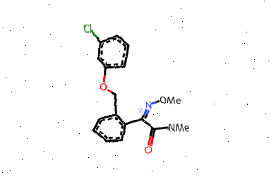 CNC(=O)/C(=N\OC)c1ccccc1COc1cccc(Cl)c1